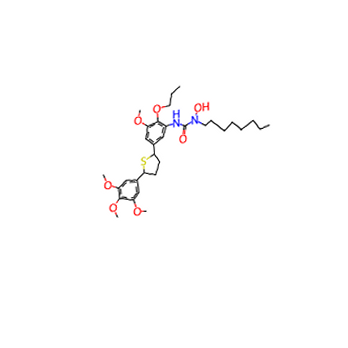 CCCCCCCCN(O)C(=O)Nc1cc(C2CCC(c3cc(OC)c(OC)c(OC)c3)S2)cc(OC)c1OCCC